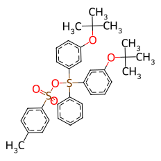 Cc1ccc(S(=O)(=O)OS(c2ccccc2)(c2cccc(OC(C)(C)C)c2)c2cccc(OC(C)(C)C)c2)cc1